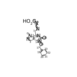 Cn1ncc2c1C(CN=C=NC(=O)O)N1CC2N(OCc2ccccc2)C1=O